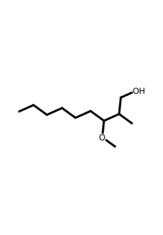 CCCCCCC(OC)C(C)CO